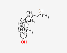 CC(S)CCC[C@@H](C)[C@H]1CC[C@H]2[C@@H]3CC=C4CC(O)CC[C@]4(C)[C@H]3CC[C@]12C